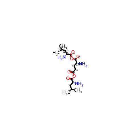 CC(C)C[C@H](N)C(=O)OC(=O)CC[C@H](N)C(=O)OC(=O)[C@@H](N)CC(C)C